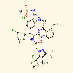 COc1cccc2nc(C(Cc3cc(F)cc(F)c3)NC(=O)Cn3nc(C(F)F)c4c3C(F)(F)[C@@H]3C[C@H]43)n(-c3ccc(Cl)c4c(NS(C)(=O)=O)nn(C)c34)c(=O)c12